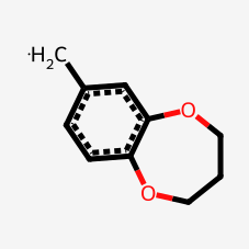 [CH2]c1ccc2c(c1)OCCCO2